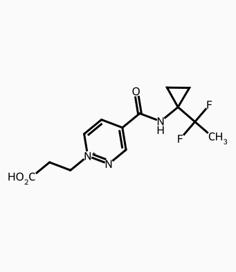 CC(F)(F)C1(NC(=O)c2cc[n+](CCC(=O)O)nc2)CC1